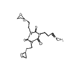 C=CCCn1c(=O)n(CCC2CO2)c(=O)n(CC[C@H]2CO2)c1=O